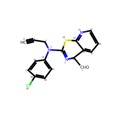 C#CCN(C1=NC(C=O)c2cccnc2S1)c1ccc(Cl)cc1